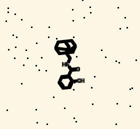 O=C(NCC12CC3CC(CC(C3)C1)C2)c1ccccc1O